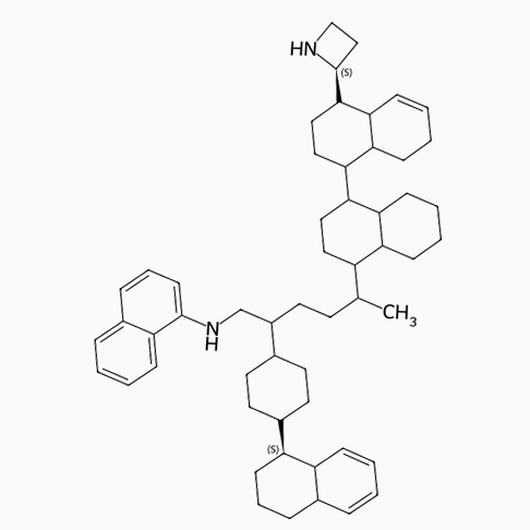 CC(CCC(CNc1cccc2ccccc12)C1CCC([C@@H]2CCCC3C=CC=CC32)CC1)C1CCC(C2CCC([C@@H]3CCN3)C3C=CCCC32)C2CCCCC12